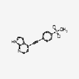 CS(=O)(=O)c1ccc(C#Cc2ccnc3[nH]ccc23)cc1